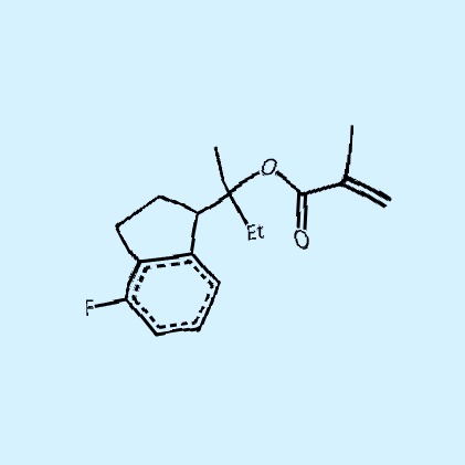 C=C(C)C(=O)OC(C)(CC)C1CCc2c(F)cccc21